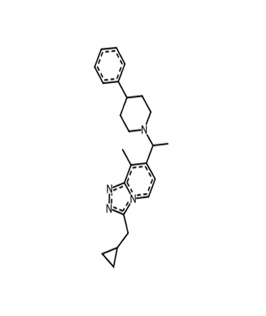 Cc1c(C(C)N2CCC(c3ccccc3)CC2)ccn2c(CC3CC3)nnc12